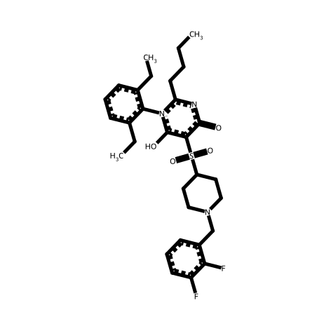 CCCCc1nc(=O)c(S(=O)(=O)C2CCN(Cc3cccc(F)c3F)CC2)c(O)n1-c1c(CC)cccc1CC